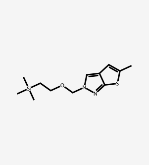 Cc1cc2cn(COCC[Si](C)(C)C)nc2s1